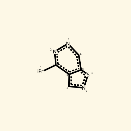 CC(C)c1nncc2sncc12